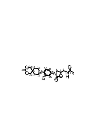 CC(=O)NCC1CN(c2ccc(N3CCC4(CC3)COCOC4)c(F)c2)C(=O)O1